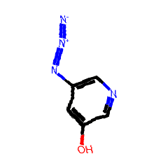 [N-]=[N+]=Nc1cncc(O)c1